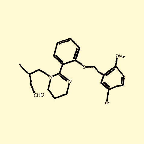 COc1ccc(Br)cc1CSc1ccccc1C1=NCCCN1CC(C)CC=O